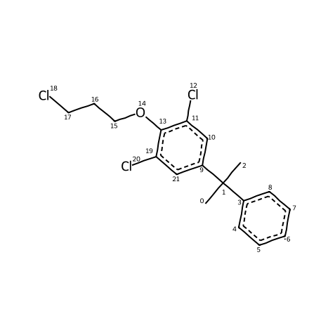 CC(C)(c1cc[c]cc1)c1cc(Cl)c(OCCCCl)c(Cl)c1